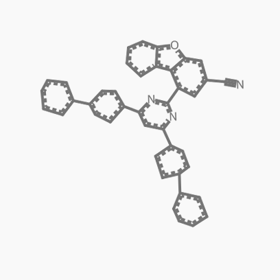 N#Cc1cc(-c2nc(-c3ccc(-c4ccccc4)cc3)cc(-c3ccc(-c4ccccc4)cc3)n2)c2c(c1)oc1ccccc12